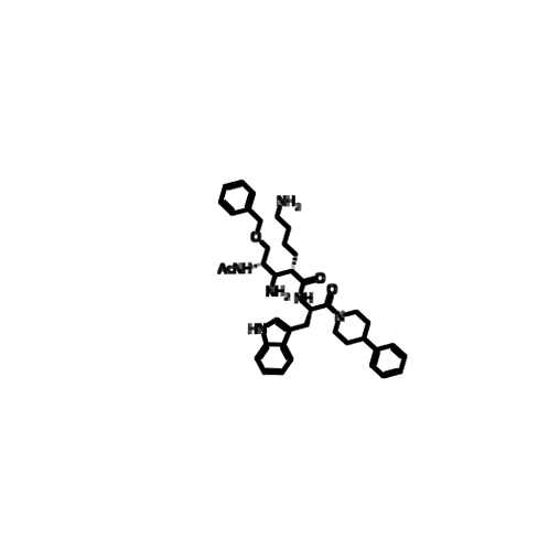 CC(=O)N[C@H](COCc1ccccc1)C(N)[C@H](CCCCN)C(=O)N[C@H](Cc1c[nH]c2ccccc12)C(=O)N1CCC(c2ccccc2)CC1